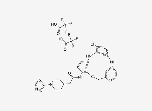 O=C(CC1CCN(c2nncs2)CC1)Nc1ccc2cc1CCc1cccc(c1)Nc1ncc(Cl)c(n1)N2.O=C(O)C(F)(F)F.O=C(O)C(F)(F)F